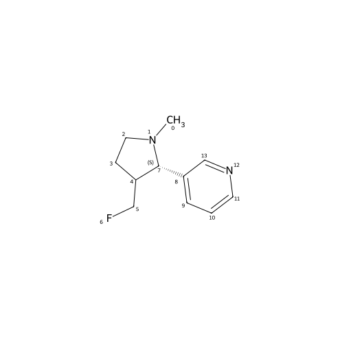 CN1CCC(CF)[C@H]1c1cccnc1